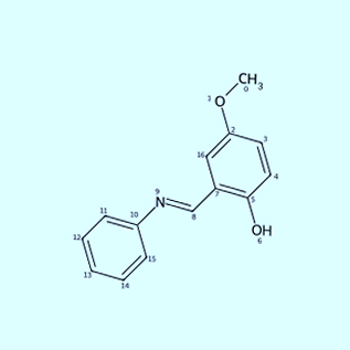 COc1ccc(O)c(/C=N/c2ccccc2)c1